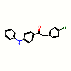 O=C(Cc1ccc(Cl)cc1)c1ccc(Nc2ccccc2)cc1